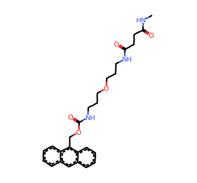 CNC(=O)CCC(=O)NCCCOCCCNC(=O)OCc1c2ccccc2cc2ccccc12